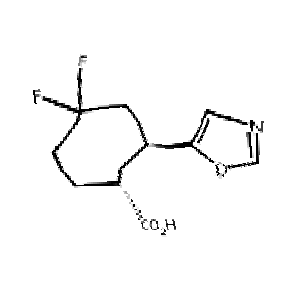 O=C(O)[C@@H]1CCC(F)(F)C[C@H]1c1cnco1